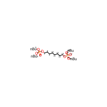 CCCCOP(=O)(OCCCC)OCCCCCCCCOP(=O)(OCCCC)OCCCC